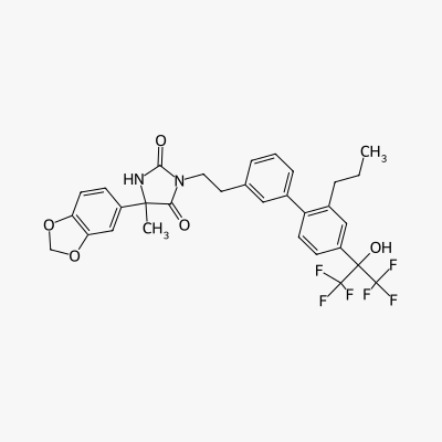 CCCc1cc(C(O)(C(F)(F)F)C(F)(F)F)ccc1-c1cccc(CCN2C(=O)NC(C)(c3ccc4c(c3)OCO4)C2=O)c1